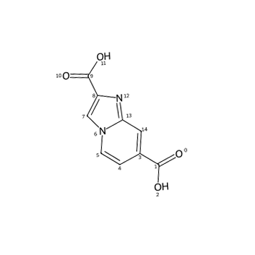 O=C(O)c1ccn2cc(C(=O)O)nc2c1